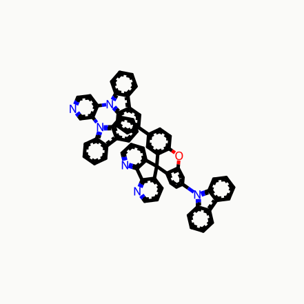 c1cnc2c(c1)C1(c3ccc(-n4c5ccccc5c5ccccc54)cc3Oc3ccc(-c4ccc5c(c4)c4ccccc4n5-c4ccncc4-n4c5ccccc5c5ccccc54)cc31)c1cccnc1-2